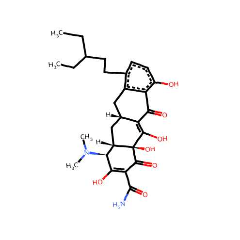 CCC(CC)CCc1ccc(O)c2c1C[C@H]1C[C@H]3[C@H](N(C)C)C(O)=C(C(N)=O)C(=O)[C@@]3(O)C(O)=C1C2=O